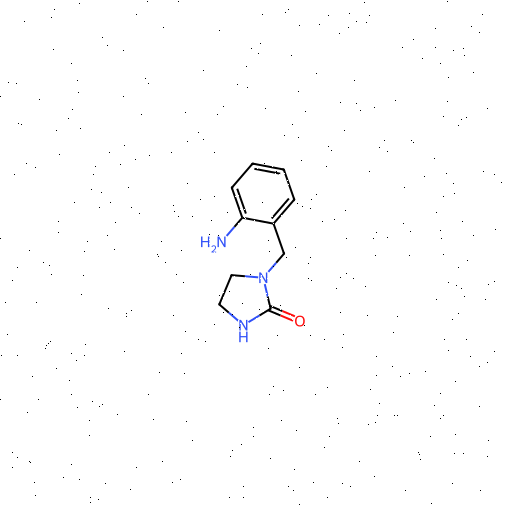 Nc1ccccc1CN1CCNC1=O